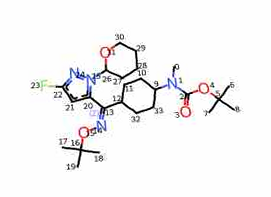 CN(C(=O)OC(C)(C)C)C1CCC(/C(=N/OC(C)(C)C)c2cc(F)nn2C2CCCCO2)CC1